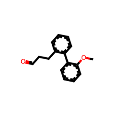 COc1ccccc1-c1ccccc1CCC=O